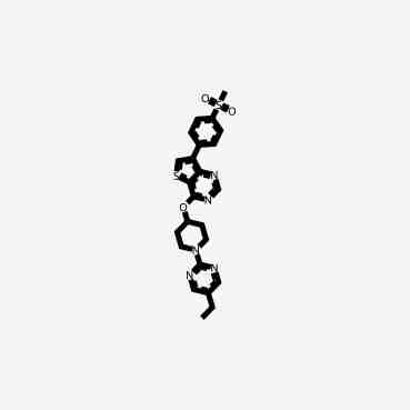 CCc1cnc(N2CCC(Oc3ncnc4c(-c5ccc(S(C)(=O)=O)cc5)csc34)CC2)nc1